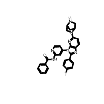 O=C(Nc1cc(-n2c(-c3ccc(F)cc3)nc3ccc(N4CC5CC4CN5)nc32)ccn1)c1ccccc1